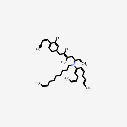 C#C/C=C\C1=CCC(C/C(C)=C(\C)CC(C=C)N(CCCCCCC/C=C\C)C(/C=C\C/C=C/C)=C/C/C=C\C)C=C1CC